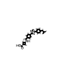 CC(C)Cc1ccc(-c2nc(-c3ccc([C@@H](C)N[C@H]4C[C@@H](C(=O)O)C4)cc3)no2)cc1